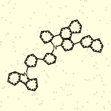 c1cc(-c2cccc(-n3c4ccccc4c4ccccc43)c2)cc(N(c2ccc(-c3ccc4ccccc4c3)cc2)c2ccccc2-c2ccc3ccccc3c2)c1